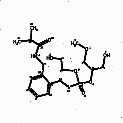 COCC(CO)OP(=O)(OCCO)SCc1ccccc1CNC(=O)C(C)C